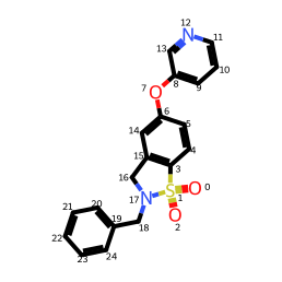 O=S1(=O)c2ccc(Oc3cccnc3)cc2CN1Cc1ccccc1